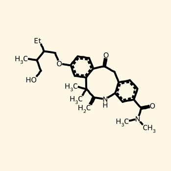 C=C1Nc2cc(C(=O)N(C)C)ccc2CC(=O)c2ccc(OCC(CC)C(C)CO)cc2C1(C)C